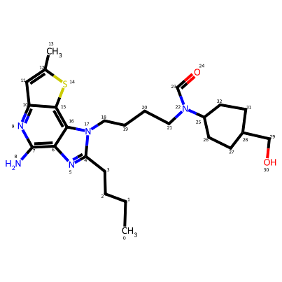 CCCCc1nc2c(N)nc3cc(C)sc3c2n1CCCCN(C=O)C1CCC(CO)CC1